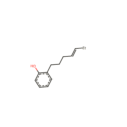 CCC=CCCCc1[c]cccc1O